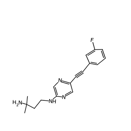 CC(C)(N)CCNc1cnc(C#Cc2cccc(F)c2)cn1